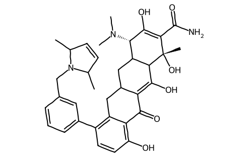 CC1C=CC(C)N1Cc1cccc(-c2ccc(O)c3c2CC2CC4C(C(O)=C2C3=O)[C@@](C)(O)C(C(N)=O)=C(O)[C@H]4N(C)C)c1